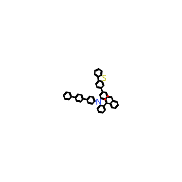 c1ccc(-c2ccc(-c3ccc(N(c4cccc(-c5ccc6c(c5)sc5ccccc56)c4)c4ccccc4-c4cccc5ccccc45)cc3)cc2)cc1